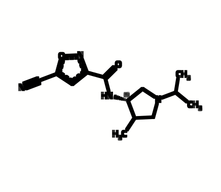 CC1CN(C(C)C)C[C@H]1NC(=O)c1cc(C#N)on1